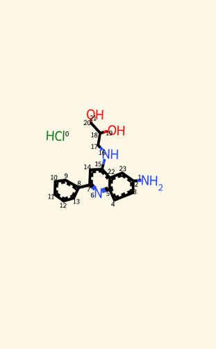 Cl.Nc1ccc2nc(-c3ccccc3)cc(NCC(O)CO)c2c1